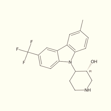 Cc1ccc2c(c1)c1cc(C(F)(F)F)ccc1n2C1CCNC[C@H]1O